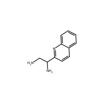 NCC(N)c1ccc2ccccc2n1